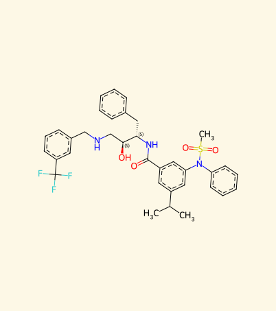 CC(C)c1cc(C(=O)N[C@@H](Cc2ccccc2)[C@@H](O)CNCc2cccc(C(F)(F)F)c2)cc(N(c2ccccc2)S(C)(=O)=O)c1